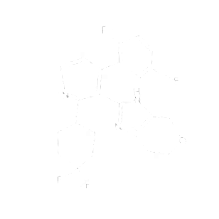 Fc1ccc(F)c(-c2ccnc(C3CCC(F)(F)CC3)c2-c2nc3c([nH]2)COCC3)c1